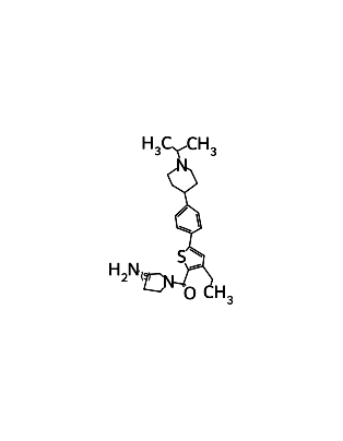 CCc1cc(-c2ccc(C3CCN(C(C)C)CC3)cc2)sc1C(=O)N1CC[C@H](N)C1